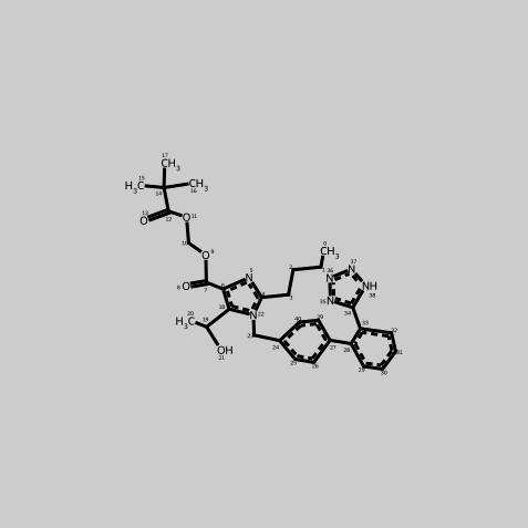 CCCCc1nc(C(=O)OCOC(=O)C(C)(C)C)c(C(C)O)n1Cc1ccc(-c2ccccc2-c2nnn[nH]2)cc1